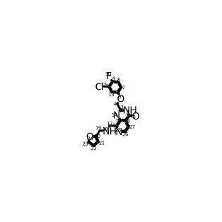 O=c1[nH]c(COc2ccc(F)c(Cl)c2)nc2c(CNCc3ccco3)nccc12